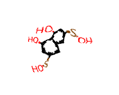 OSc1cc(O)c2c(O)cc(SO)cc2c1